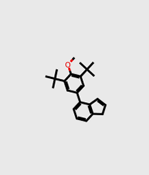 COc1c(C(C)(C)C)cc(-c2cccc3c2C=CC3)cc1C(C)(C)C